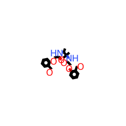 CC(NC(=O)COc1ccccc1C=O)C(C)(C)NC(=O)COc1ccccc1C=O